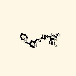 Nc1n[s+]([O-])nc1NCCSCc1cc(CN2CCCCC2)ccn1